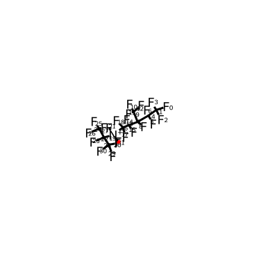 FC(F)(F)C(F)(F)C(F)(C(F)(F)F)C(F)(F)C(F)(F)[N+](F)(F)C(F)(C(F)(F)F)C(F)(F)F